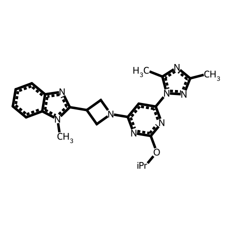 Cc1nc(C)n(-c2cc(N3CC(c4nc5ccccc5n4C)C3)nc(OC(C)C)n2)n1